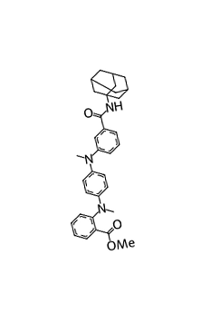 COC(=O)c1ccccc1N(C)c1ccc(N(C)c2cccc(C(=O)NC34CC5CC(CC(C5)C3)C4)c2)cc1